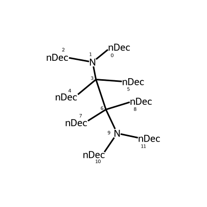 CCCCCCCCCCN(CCCCCCCCCC)C(CCCCCCCCCC)(CCCCCCCCCC)C(CCCCCCCCCC)(CCCCCCCCCC)N(CCCCCCCCCC)CCCCCCCCCC